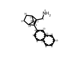 NCC1=C(c2ccc3ccccc3c2)C2CCC1C2